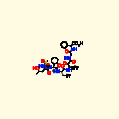 CCCC(NC(=O)[C@H](CC(C)C)NC(=O)[C@@](C)(NC(=O)C(CC(C)O)NS(C)(=O)=O)C1CCCCC1)C(=O)C(=O)NCC(=O)N[C@H](C(=O)O)c1ccccc1